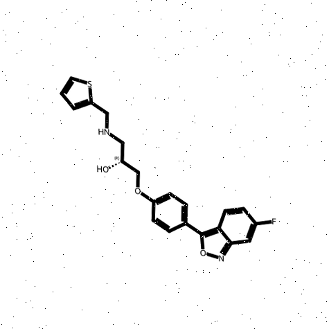 O[C@H](CNCc1cccs1)COc1ccc(-c2onc3cc(F)ccc23)cc1